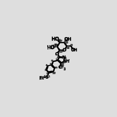 CCSc1ccc(Cc2c(O[C@@H]3O[C@H](CO)[C@@H](O)[C@H](O)[C@H]3O)n[nH]c2C(F)(F)F)cc1